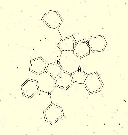 c1ccc(-c2cc(-n3c4ccccc4c4c(N(c5ccccc5)c5ccccc5)cc5c6ccccc6n(-c6ccccc6)c5c43)cc(-c3ccccc3)n2)cc1